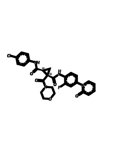 O=C(Nc1ccc(Cl)cc1)[C@H]1C[C@]1(C(=O)Nc1ccc(-n2ccccc2=O)cc1F)C(=O)N1CCOCC1